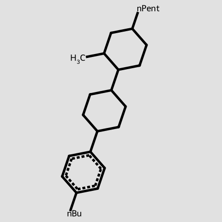 CCCCCC1CCC(C2CCC(c3ccc(CCCC)cc3)CC2)C(C)C1